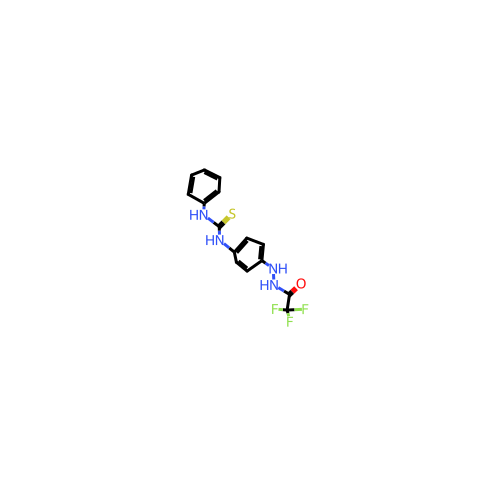 O=C(NNc1ccc(NC(=S)Nc2ccccc2)cc1)C(F)(F)F